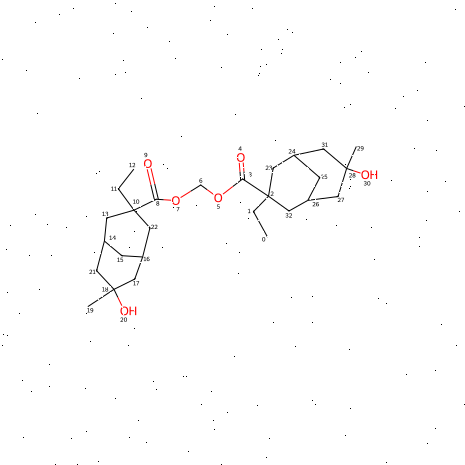 CCC1(C(=O)OCOC(=O)C2(CC)CC3CC(CC(C)(O)C3)C2)CC2CC(CC(C)(O)C2)C1